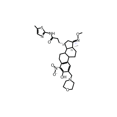 CO/N=C1\C[C@@H](CCC(=O)Nc2ncc(C)s2)C2C3CCc4c(cc(CN5CCOCC5)c(O)c4[N+](=O)[O-])C3CC[C@]12C